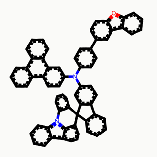 c1ccc2c(c1)-c1ccc(N(c3ccc(-c4ccc5oc6ccccc6c5c4)cc3)c3ccc4c5ccccc5c5ccccc5c4c3)cc1C21c2ccccc2-n2c3ccccc3c3cccc1c32